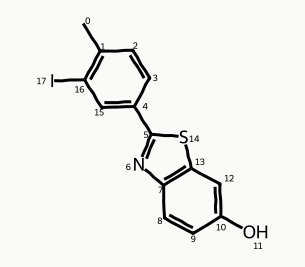 Cc1ccc(-c2nc3ccc(O)cc3s2)cc1I